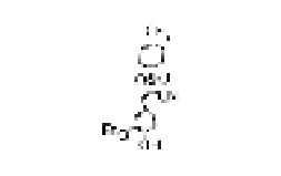 CCOc1cc(/C=C(\C#N)S(=O)(=O)c2ccc(C(F)(F)F)cc2)ccc1O